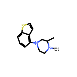 CCN1CCN(c2cccc3sccc23)CC1C